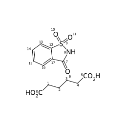 O=C(O)CCCCC(=O)O.O=C1NS(=O)(=O)c2ccccc21